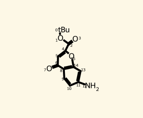 CC(C)(C)OC(=O)c1cc(=O)c2ccc(N)cc2o1